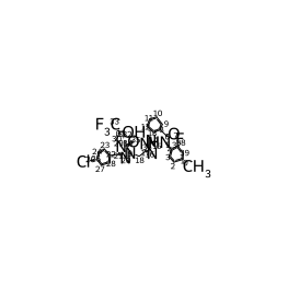 Cc1ccc(NC(=O)c2ccccc2-n2cnc(Cn3nc(-c4ccc(Cl)cc4)n(C[C@H](O)C(F)(F)F)c3=O)n2)c(F)c1